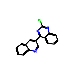 Clc1nc(-c2cnc3ccccc3c2)c2ccccc2n1